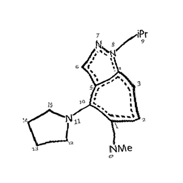 CNc1ccc2c(cnn2C(C)C)c1N1CCCC1